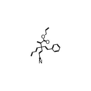 C=CC=CC(C=CC#N)(C=Cc1ccccc1)C(=C)C(=O)OCC=C